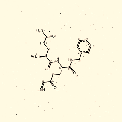 CC(=O)N[C@@H](CNC(N)=O)C(=O)N[C@@H](CCC(=O)C=N)C(=O)NCc1ccccc1